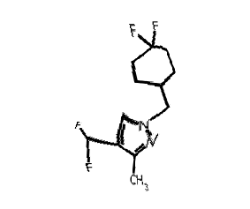 Cc1nn(CC2CCC(F)(F)CC2)cc1C(F)F